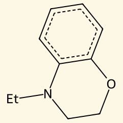 CCN1CCOc2ccccc21